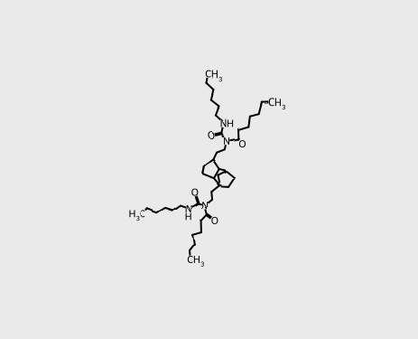 CCCCCCNC(=O)N(CCC1CCC2C1C1CCC2(CCN(C(=O)CCCCCC)C(=O)NCCCCCC)C1)C(=O)CCCCCC